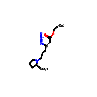 CCCCCCCCCCCOC(=O)C[C@H](CCCN1CCCC1C(=O)O)N=[N+]=[N-]